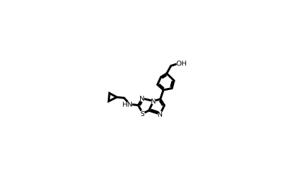 OCc1ccc(-c2cnc3sc(NCC4CC4)nn23)cc1